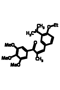 CCOc1ccc(C=C(C)C(=O)c2cc(OC)c(OC)c(OC)c2)cc1N(C)C